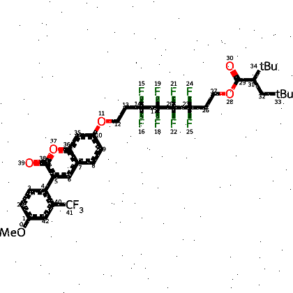 COc1ccc(-c2cc3ccc(OCCC(F)(F)C(F)(F)C(F)(F)C(F)(F)CCOC(=O)C(CC(C)(C)C)C(C)(C)C)cc3oc2=O)c(C(F)(F)F)c1